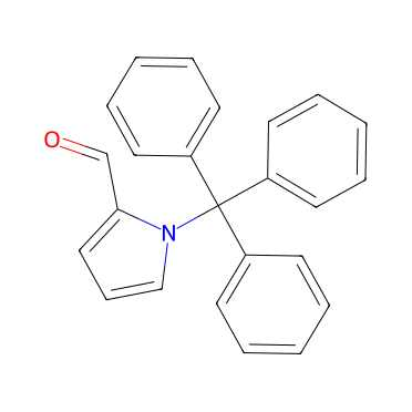 O=Cc1cccn1C(c1ccccc1)(c1ccccc1)c1ccccc1